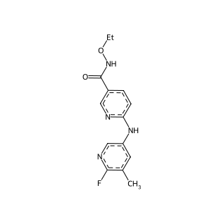 CCONC(=O)c1ccc(Nc2cnc(F)c(C)c2)nc1